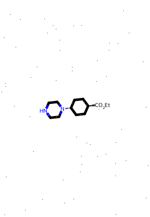 CCOC(=O)[C@H]1CC[C@H](N2CCNCC2)CC1